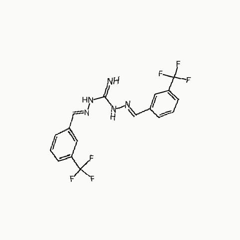 N=C(N/N=C/c1cccc(C(F)(F)F)c1)N/N=C/c1cccc(C(F)(F)F)c1